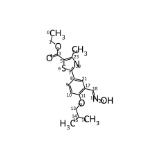 CCOC(=O)c1sc(-c2ccc(OCC(C)C)c(C=NO)c2)nc1C